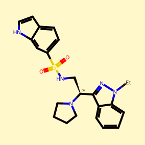 CCn1nc([C@H](CNS(=O)(=O)c2ccc3cc[nH]c3c2)N2CCCC2)c2ccccc21